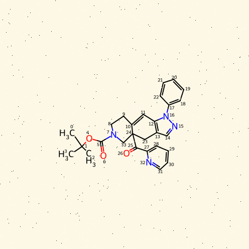 CC(C)(C)OC(=O)N1CCC2=Cc3c(cnn3-c3ccccc3)CC2(C(=O)c2ccccn2)C1